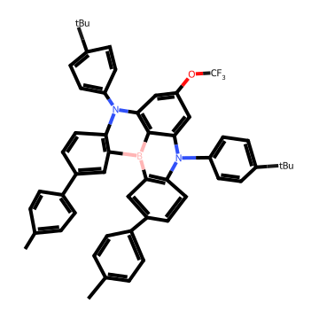 Cc1ccc(-c2ccc3c(c2)B2c4cc(-c5ccc(C)cc5)ccc4N(c4ccc(C(C)(C)C)cc4)c4cc(OC(F)(F)F)cc(c42)N3c2ccc(C(C)(C)C)cc2)cc1